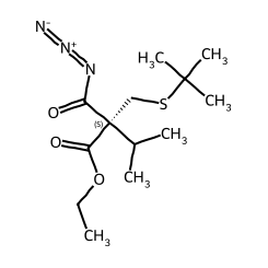 CCOC(=O)[C@@](CSC(C)(C)C)(C(=O)N=[N+]=[N-])C(C)C